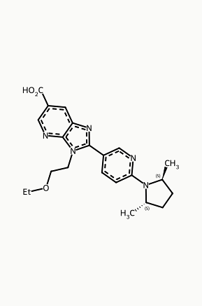 CCOCCn1c(-c2ccc(N3[C@@H](C)CC[C@@H]3C)nc2)nc2cc(C(=O)O)cnc21